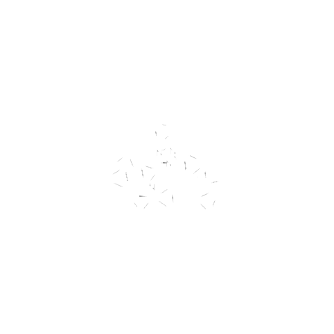 C1=C(c2ccccc2)c2oc3cc(-c4nc(-c5ccccc5)nc(-c5cc(-c6cccc7ccccc67)cc(-n6c7ccccc7c7ccccc76)c5)n4)ccc3c2CC1